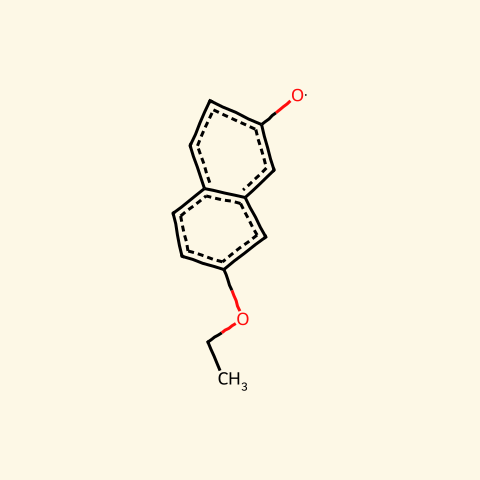 CCOc1ccc2ccc([O])cc2c1